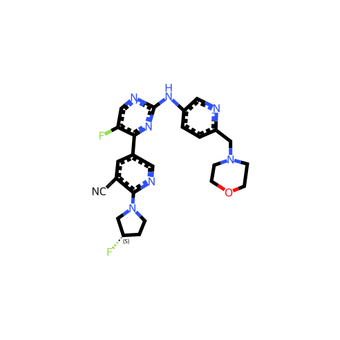 N#Cc1cc(-c2nc(Nc3ccc(CN4CCOCC4)nc3)ncc2F)cnc1N1CC[C@H](F)C1